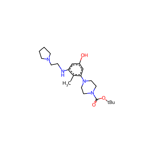 Cc1c(NCCN2CCCC2)cc(O)cc1N1CCN(C(=O)OC(C)(C)C)CC1